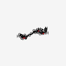 CC(C)(OCC(=O)NCCOCCOCCNc1cccc2c1C(=O)N(C1CCC(=O)NC1=O)C2=O)C(F)CNC(=O)c1cnc(Nc2ccc3cnccc3n2)cc1NC1CC1